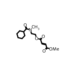 COC(=O)/C=C/C(=O)OCCN(C)C(=O)C1CCCCC1